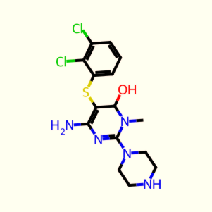 CN1C(N2CCNCC2)=NC(N)=C(Sc2cccc(Cl)c2Cl)C1O